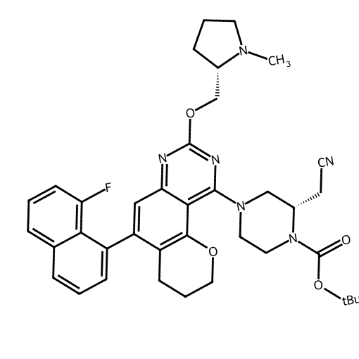 CN1CCC[C@H]1COc1nc(N2CCN(C(=O)OC(C)(C)C)[C@@H](CC#N)C2)c2c3c(c(-c4cccc5cccc(F)c45)cc2n1)CCCO3